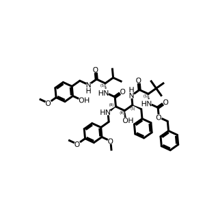 COc1ccc(CNC(=O)[C@@H](NC(=O)[C@H](NCc2ccc(OC)cc2OC)[C@H](O)[C@H](Cc2ccccc2)NC(=O)[C@@H](NC(=O)OCc2ccccc2)C(C)(C)C)C(C)C)c(O)c1